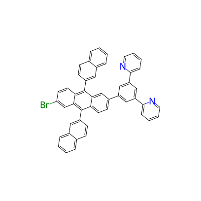 Brc1ccc2c(-c3ccc4ccccc4c3)c3cc(-c4cc(-c5ccccn5)cc(-c5ccccn5)c4)ccc3c(-c3ccc4ccccc4c3)c2c1